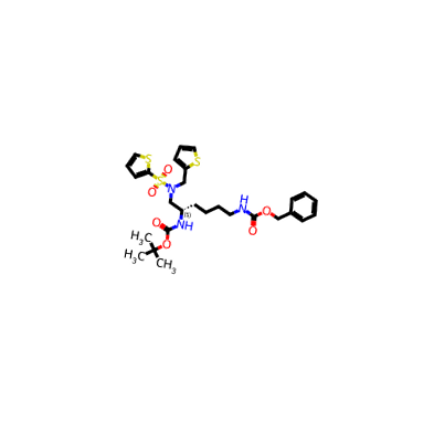 CC(C)(C)OC(=O)N[C@@H](CCCCNC(=O)OCc1ccccc1)CN(Cc1cccs1)S(=O)(=O)c1cccs1